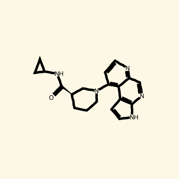 O=C(NC1CC1)[C@@H]1CCCN(c2ccnc3cnc4[nH]ccc4c23)C1